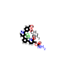 COc1cc(-c2nccc(-c3cccc(-c4ccc(COC(N)=O)c(OC)n4)c3Cl)c2Cl)ccc1C=O